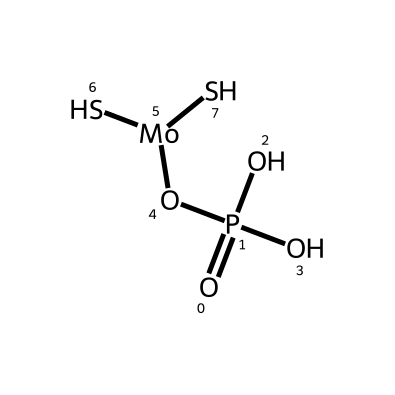 O=P(O)(O)[O][Mo]([SH])[SH]